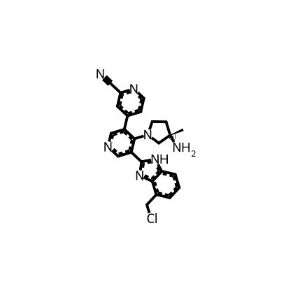 C[C@]1(N)CCN(c2c(-c3ccnc(C#N)c3)cncc2-c2nc3c(CCl)cccc3[nH]2)C1